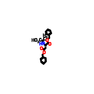 CC(N[C@@H](CC(=O)OCc1ccccc1)C(=O)OCc1ccccc1)C(=O)O